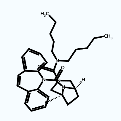 CCCCCN(CCCCC)C(=O)N1C[C@H]2CC[C@@H](C1)N2C(=O)N1c2ccccc2C=Cc2ccccc21